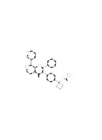 NC(=O)OC1(c2ccc(-c3c(-c4ccccc4)oc4c(-c5cccnc5)nccc4c3=O)cc2)CCC1